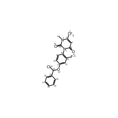 Cn1c(C(F)(F)F)cc(=O)n(-c2ccc(OC(Cl)c3ccccc3)cc2F)c1=O